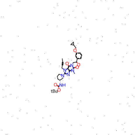 CC#CCn1c(N2CCC[C@@H](NC(=O)OC(C)(C)C)C2)nc2c1c(=O)n(CC(=O)c1cccc(OCC3CC3)c1)c(=O)n2C